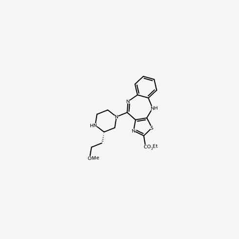 CCOC(=O)c1nc2c(s1)Nc1ccccc1N=C2N1CCN[C@@H](CCOC)C1